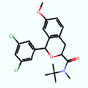 COc1ccc2c(c1)C(c1cc(Cl)cc(Cl)c1)OC(C(=O)N(C)C(C)(C)C)C2